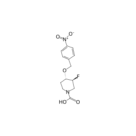 O=C(O)N1CC[C@H](OCc2ccc([N+](=O)[O-])cc2)[C@@H](F)C1